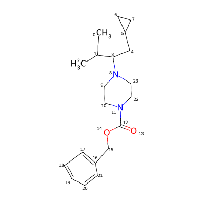 CC(C)C(CC1CC1)N1CCN(C(=O)OCc2ccccc2)CC1